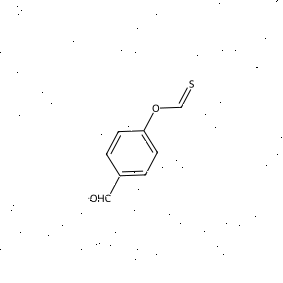 O=[C]c1ccc(OC=S)cc1